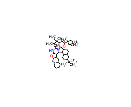 CCC(C)(CC)C1CC(C(C)(CC)CC)OC2(O1)C1CCC3CC(C(C)(C)C)CCC3C1C1C3C(NC(C)N12)OC1CC2CCCCC2CC13